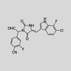 N#Cc1ccc(C(C=O)N2C(=O)NC(=Cc3c[nH]c4c(F)c(Cl)ccc34)C2=O)cc1F